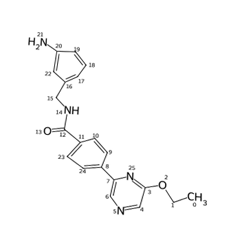 CCOc1cncc(-c2ccc(C(=O)NCc3cccc(N)c3)cc2)n1